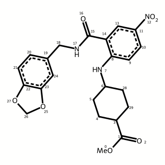 COC(=O)C1CCC(Nc2ccc([N+](=O)[O-])cc2C(=O)NCc2ccc3c(c2)OCO3)CC1